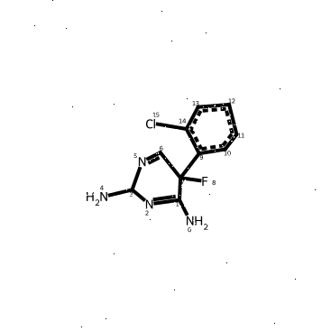 NC1=NC(N)N=CC1(F)c1ccccc1Cl